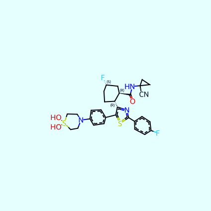 N#CC1(NC(=O)[C@@H]2C[C@@H](F)CC[C@H]2c2nc(-c3ccc(F)cc3)sc2-c2ccc(N3CCS(O)(O)CC3)cc2)CC1